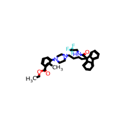 CCOC(=O)c1cccc(N2CCN(CCCCC3(C(=O)NCC(F)(F)F)c4ccccc4-c4ccccc43)CC2)c1C